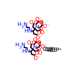 NCCNC(CC(=O)[O-])C(CC(=O)[O-])(CC(=O)[O-])N(CC(=O)[O-])CC(=O)[O-].NCCNC(CC(=O)[O-])C(CC(=O)[O-])(CC(=O)[O-])N(CC(=O)[O-])CC(=O)[O-].[Cu+2].[Cu+2].[Cu+2].[Cu+2].[Cu+2]